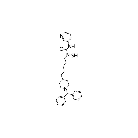 O=C(Nc1cccnc1)N(S)CCCCCC1CCN(C(c2ccccc2)c2ccccc2)CC1